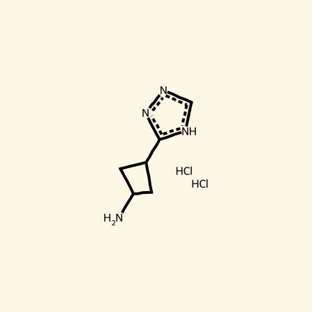 Cl.Cl.NC1CC(c2nnc[nH]2)C1